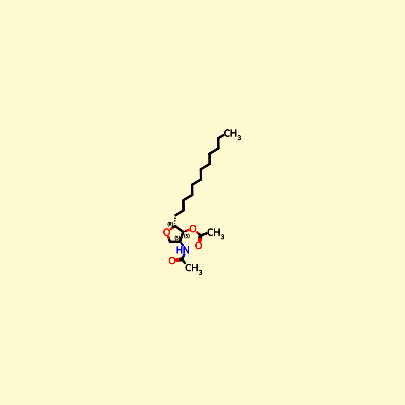 CCCCCCCCCCCC[C@H]1OC[C@H](NC(C)=O)[C@@H]1OC(C)=O